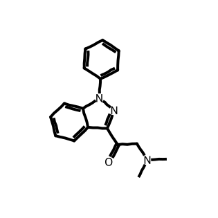 CN(C)CC(=O)c1nn(-c2ccccc2)c2ccccc12